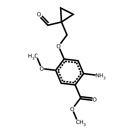 COC(=O)c1cc(OC)c(OCC2(C=O)CC2)cc1N